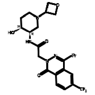 CC(C)c1nn(CC(=O)N[C@H]2CN(C3COC3)CC[C@H]2O)c(=O)c2ccc(C(F)(F)F)cc12